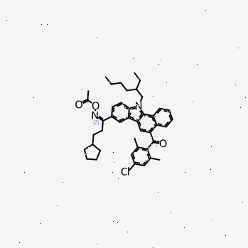 CCCCC(CC)Cn1c2ccc(/C(CCC3CCCC3)=N\OC(C)=O)cc2c2cc(C(=O)c3c(C)cc(Cl)cc3C)c3ccccc3c21